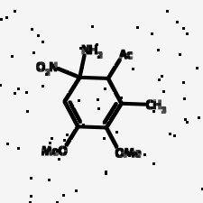 COC1=CC(N)([N+](=O)[O-])C(C(C)=O)C(C)=C1OC